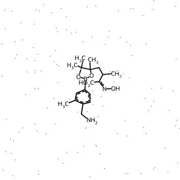 Cc1cc(B2OC(C)(C)C(C)(CC(C)/C(=N\O)C(=O)O)O2)ccc1CN